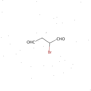 O=[C]CC(Br)C=O